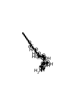 CCCCCCCCCCOCCC(=O)SCCNC(=O)CCNC(=O)[C@H](O)C(C)(C)COP(=O)(O)OP(=O)(O)OC[C@H]1O[C@@H](n2cnc3c(N)ncnc32)[C@H](O)[C@@H]1OP(=O)(O)O